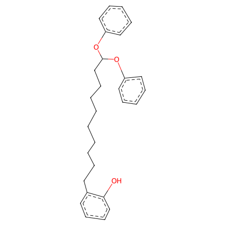 Oc1ccccc1CCCCCCCCCC(Oc1ccccc1)Oc1ccccc1